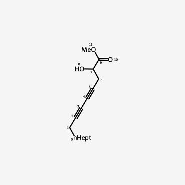 CCCCCCCCC#CC#CCC(O)C(=O)OC